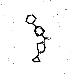 O=C(c1ccc(C2CCCCC2)cc1)N1CCN(C2CCC2)CC1